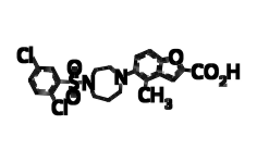 Cc1c(N2CCCN(S(=O)(=O)c3cc(Cl)ccc3Cl)CC2)ccc2oc(C(=O)O)cc12